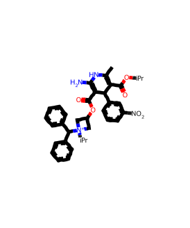 CC1=C(C(=O)OC(C)C)C(c2cccc([N+](=O)[O-])c2)C(C(=O)OC2C[N+](C(C)C)(C(c3ccccc3)c3ccccc3)C2)=C(N)N1